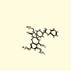 CCN1C(=O)N2Cc3cc(OC)cc(OC)c3C(C)C=C2C12CCN(C(=O)Cc1ccccc1)CC2